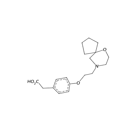 O=C(O)Cc1ccc(OCCN2CCOC3(CCCC3)C2)cc1